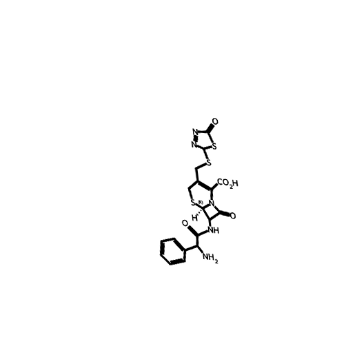 NC(C(=O)NC1C(=O)N2C(C(=O)O)=C(CSC3N=NC(=O)S3)CS[C@H]12)c1ccccc1